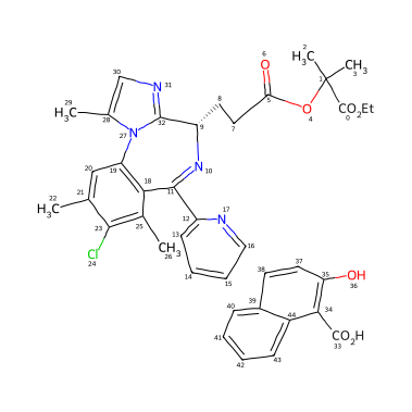 CCOC(=O)C(C)(C)OC(=O)CC[C@@H]1N=C(c2ccccn2)c2c(cc(C)c(Cl)c2C)-n2c(C)cnc21.O=C(O)c1c(O)ccc2ccccc12